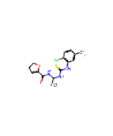 O=C(NC(NC(=S)Nc1cc(C(F)(F)F)ccc1Cl)C(Cl)(Cl)Cl)C1=CCCO1